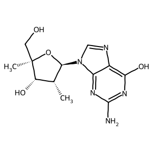 C[C@H]1[C@H](n2cnc3c(O)nc(N)nc32)O[C@](C)(CO)[C@H]1O